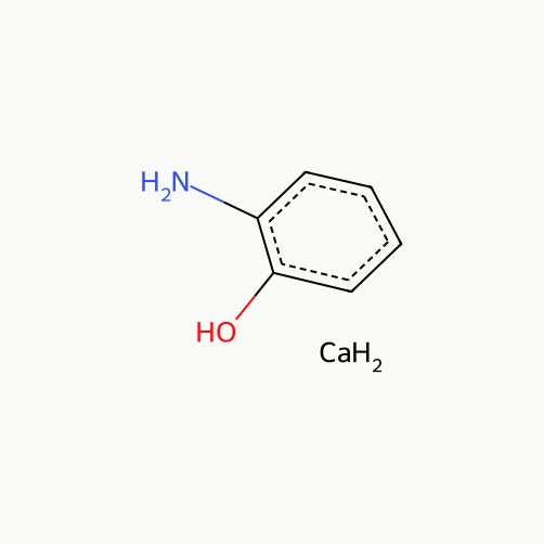 Nc1ccccc1O.[CaH2]